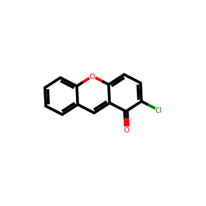 O=c1c(Cl)ccc2oc3ccccc3cc1-2